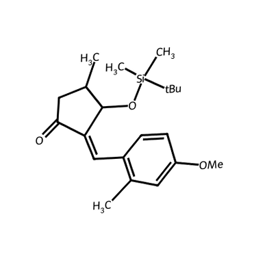 COc1ccc(C=C2C(=O)CC(C)C2O[Si](C)(C)C(C)(C)C)c(C)c1